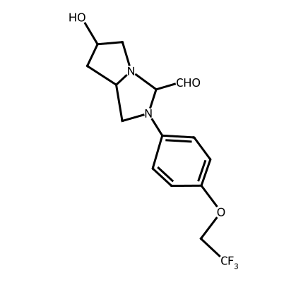 O=CC1N(c2ccc(OCC(F)(F)F)cc2)CC2CC(O)CN21